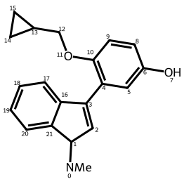 CNC1C=C(c2cc(O)ccc2OCC2CC2)c2ccccc21